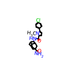 Cn1c(C(=O)NC2C3CC4CC2CC(C(N)=O)(C4)C3)ccc1-c1ccc(Cl)cc1